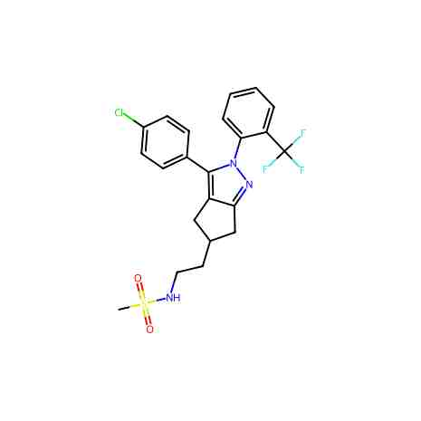 CS(=O)(=O)NCCC1Cc2nn(-c3ccccc3C(F)(F)F)c(-c3ccc(Cl)cc3)c2C1